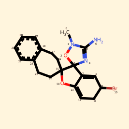 CN1OC2(N=C1N)C1=CC(Br)CC=C1OC21CCc2ccccc2CC1